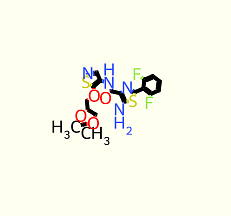 CC1(C)OCC(COc2sncc2NC(=O)c2nc(-c3c(F)cccc3F)sc2N)O1